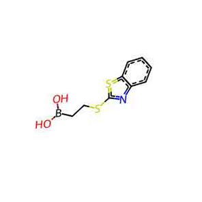 OB(O)CCSc1nc2ccccc2s1